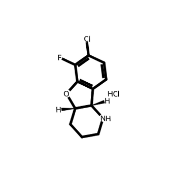 Cl.Fc1c(Cl)ccc2c1O[C@H]1CCCN[C@@H]21